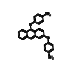 Nc1ccc(Oc2ccc3c(Oc4ccc(N)cc4)c4ccccc4cc3c2)cc1